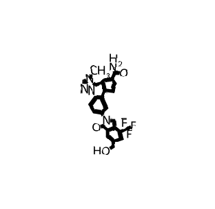 Cn1cnnc1-c1cc(C(N)=O)ccc1-c1cccc(N2Cc3c(cc(CO)cc3C(F)(F)F)C2=O)c1